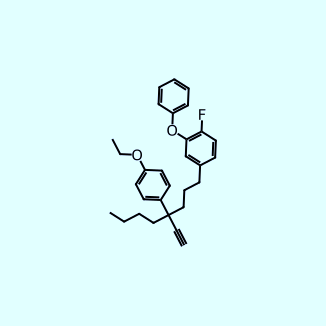 C#CC(CCCC)(CCCc1ccc(F)c(Oc2ccccc2)c1)c1ccc(OCC)cc1